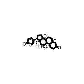 C[C@]12CCC(=O)C[C@H]1CCC1C2CC[C@]2(C)[C@@H](c3ccc(=O)oc3)CC[C@]12O